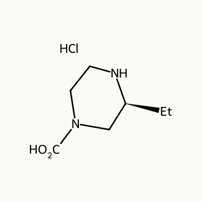 CC[C@H]1CN(C(=O)O)CCN1.Cl